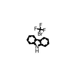 FC(F)(F)Br.c1ccc2c(c1)[nH]c1ccccc12